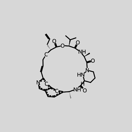 C=CC[C@H]1CC/C=C/c2cc3cc(ccc3cn2)[C@@H](C)NC(=O)[C@@H]2CCCN(N2)C(=O)[C@H](C)NC(=O)[C@H](C(C)C)OC1=O